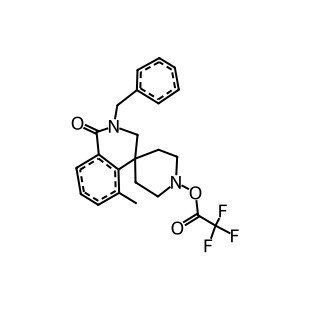 Cc1cccc2c1C1(CCN(OC(=O)C(F)(F)F)CC1)CN(Cc1ccccc1)C2=O